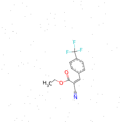 CCOC(=O)C(C#N)=Cc1ccc(C(F)(F)F)cc1